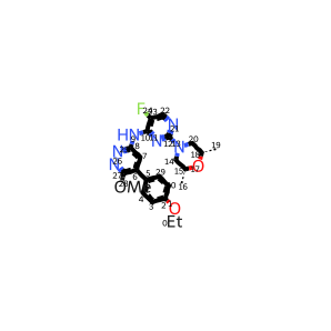 CCOc1ccc(-c2cc(Nc3nc(N4C[C@@H](C)O[C@@H](C)C4)ncc3F)nnc2OC)cc1